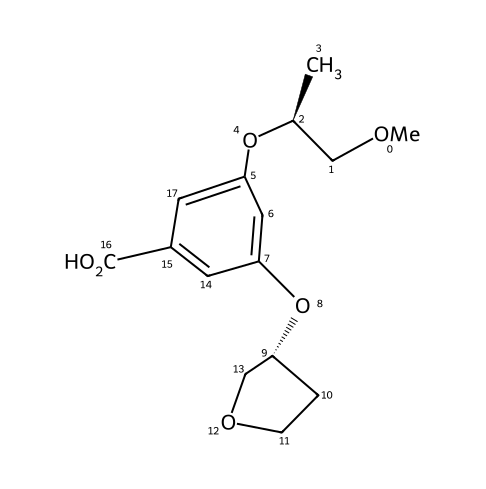 COC[C@H](C)Oc1cc(O[C@@H]2CCOC2)cc(C(=O)O)c1